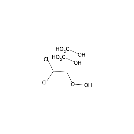 O=C(O)O.O=C(O)O.OOCC(Cl)Cl